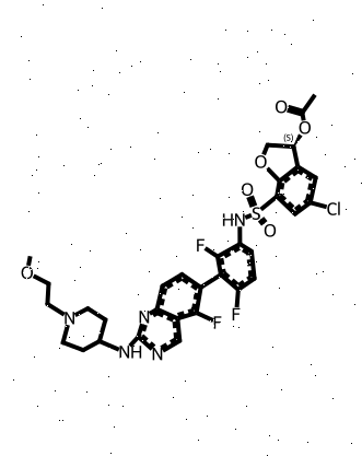 COCCN1CCC(Nc2ncc3c(F)c(-c4c(F)ccc(NS(=O)(=O)c5cc(Cl)cc6c5OC[C@H]6OC(C)=O)c4F)ccc3n2)CC1